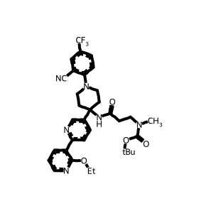 CCOc1ncccc1-c1ccc(C2(NC(=O)CCN(C)C(=O)OC(C)(C)C)CCN(c3ccc(C(F)(F)F)cc3C#N)CC2)cn1